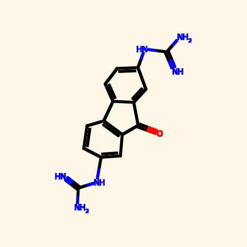 N=C(N)Nc1ccc2c(c1)C(=O)c1cc(NC(=N)N)ccc1-2